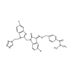 CN(C)C(=O)c1ccc(CO/N=C2/C(=O)N(Cc3nc4cc(F)ccc4n3CCn3cnnn3)c3ccc(F)cc32)cc1